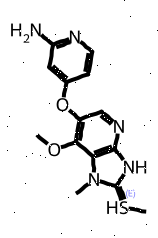 COc1c(Oc2ccnc(N)c2)cnc2[nH]/c(=[SH]\C)n(C)c12